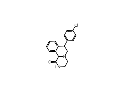 O=C1NCCN2CC(c3ccc(Cl)cc3)c3ccccc3C12